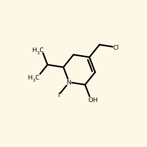 CC(C)C1CC(CCl)=CC(O)N1I